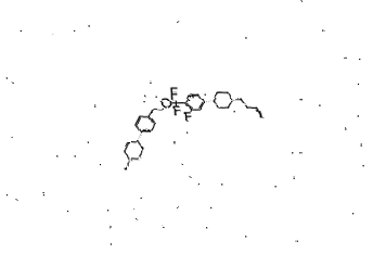 C=CCC[C@H]1CC[C@H](c2ccc(C(F)(F)OCCc3ccc([C@H]4CC[C@H](C)CC4)cc3)c(F)c2)CC1